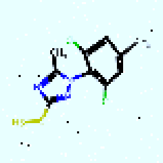 Cc1nc(SS)nn1-c1c(Cl)cc(C(F)(F)F)cc1Cl